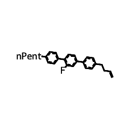 C=CCCc1ccc(-c2ccc(-c3ccc(CCCCC)cc3)c(F)c2)cc1